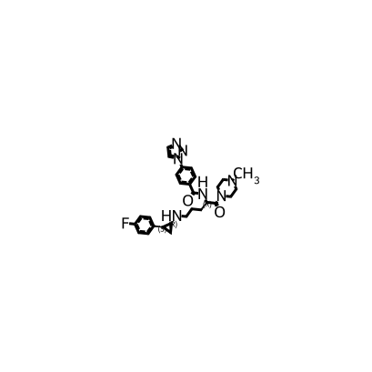 CN1CCN(C(=O)[C@@H](CCCN[C@@H]2C[C@H]2c2ccc(F)cc2)NC(=O)c2ccc(-n3ccnn3)cc2)CC1